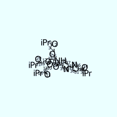 CC(C)C(=O)CCOCC(COCCC(=O)C(C)C)(COCCC(=O)C(C)C)NC(=O)c1ccc(-c2ccc(C(=O)C(C)C)cn2)nc1